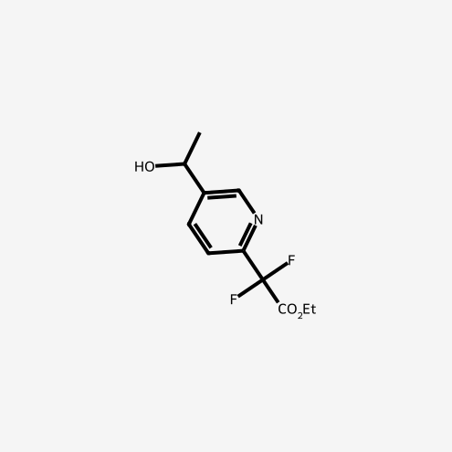 CCOC(=O)C(F)(F)c1ccc(C(C)O)cn1